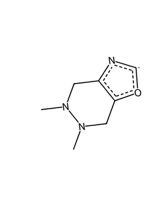 CN1Cc2n[c]oc2CN1C